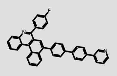 Fc1ccc(-c2nc3ccccc3c3c2cc(-c2ccc(-c4ccc(-c5cccnc5)cc4)cc2)c2ccccc23)cc1